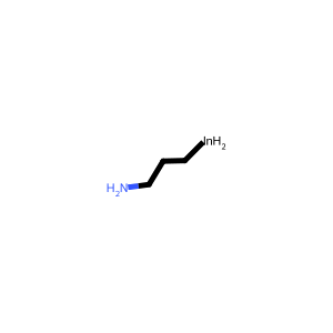 NCC[CH2][InH2]